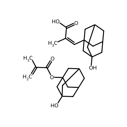 C=C(C)C(=O)OC12CC3CC(CC(O)(C3)C1)C2.CC(=CC12CC3CC(CC(O)(C3)C1)C2)C(=O)O